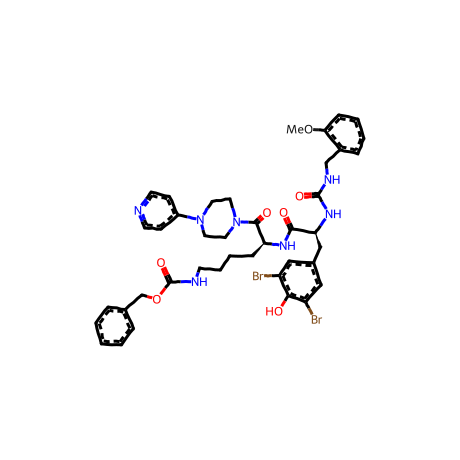 COc1ccccc1CNC(=O)N[C@@H](Cc1cc(Br)c(O)c(Br)c1)C(=O)N[C@@H](CCCCNC(=O)OCc1ccccc1)C(=O)N1CCN(c2ccncc2)CC1